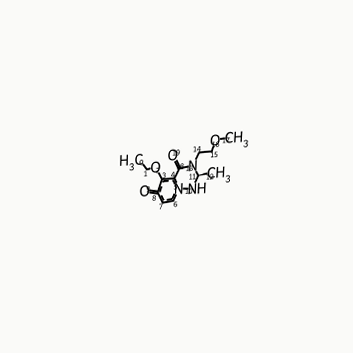 CCOc1c2n(ccc1=O)N[C@H](C)N(CCOC)C2=O